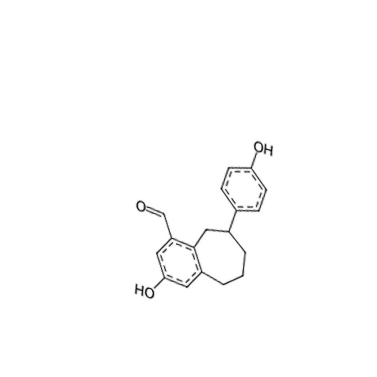 O=Cc1cc(O)cc2c1CC(c1ccc(O)cc1)CCC2